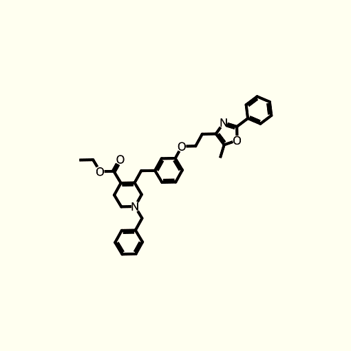 CCOC(=O)C1=C(Cc2cccc(OCCc3nc(-c4ccccc4)oc3C)c2)CN(Cc2ccccc2)CC1